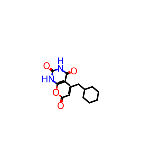 O=c1[nH]c(=O)c2c(CC3CCCCC3)cc(=O)oc2[nH]1